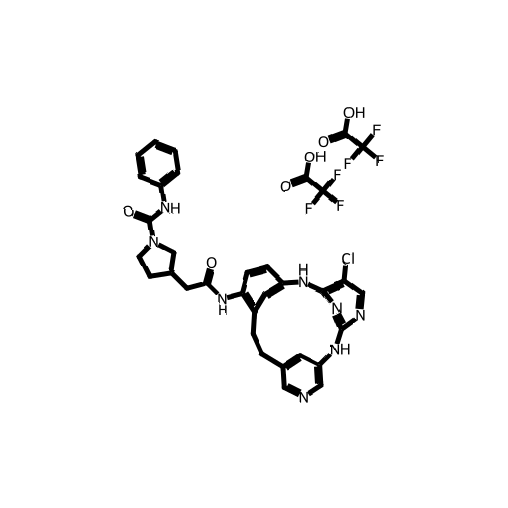 O=C(CC1CCN(C(=O)Nc2ccccc2)C1)Nc1ccc2cc1CCc1cncc(c1)Nc1ncc(Cl)c(n1)N2.O=C(O)C(F)(F)F.O=C(O)C(F)(F)F